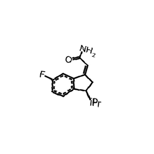 CC(C)C1C/C(=C/C(N)=O)c2cc(F)ccc21